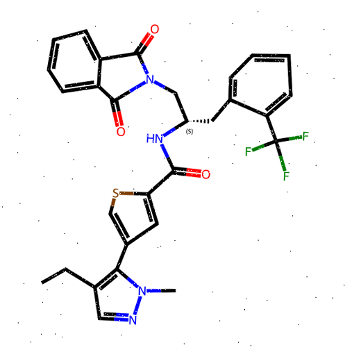 CCc1cnn(C)c1-c1csc(C(=O)N[C@@H](Cc2ccccc2C(F)(F)F)CN2C(=O)c3ccccc3C2=O)c1